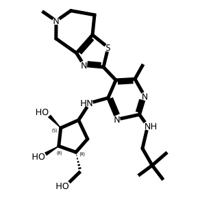 Cc1nc(NCC(C)(C)C)nc(NC2C[C@H](CO)[C@@H](O)[C@H]2O)c1-c1nc2c(s1)CCN(C)C2